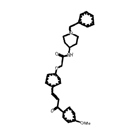 COc1ccc(C(=O)C=Cc2ccc(OCC(=O)NC3CCN(Cc4ccccc4)CC3)cc2)cc1